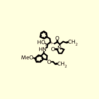 C=CCOC1CC(NC[C@@H](O)[C@@H](CC(=O)C(CC=C)N2CCCC2=O)Cc2ccccc2)c2cc(OC)ccc21